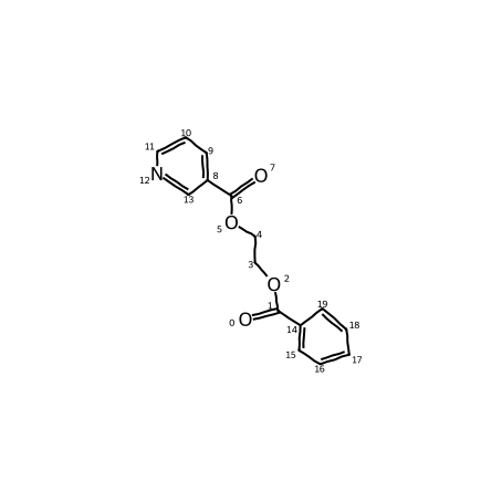 O=C(OCCOC(=O)c1cccnc1)c1ccccc1